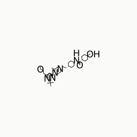 COCCc1cc(N2CCN(CC[C@H]3CC[C@@H](NC(=O)[C@H]4CC[C@H](O)CC4)CC3)C[C@@H]2C)nc(C(C)(C)C)n1